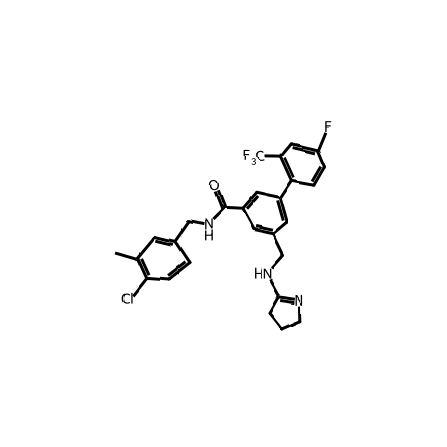 Cc1cc(CNC(=O)c2cc(CNC3=NCCC3)cc(-c3ccc(F)cc3C(F)(F)F)c2)ccc1Cl